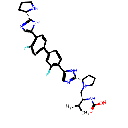 CC(C)[C@@H](CN1CCC[C@H]1c1ncc(-c2ccc(-c3ccc(-c4cnc([C@@H]5CCCN5)[nH]4)c(F)c3)cc2F)[nH]1)NC(=O)O